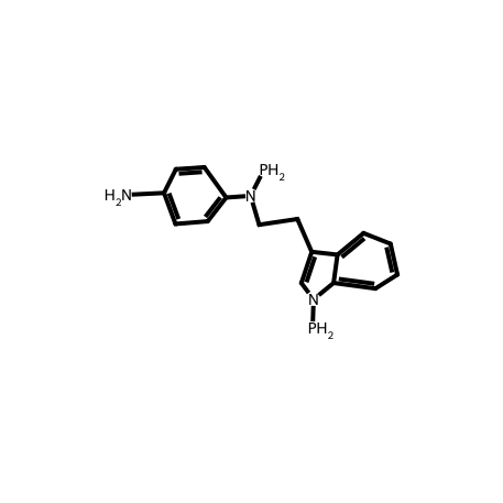 Nc1ccc(N(P)CCc2cn(P)c3ccccc23)cc1